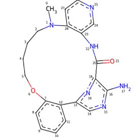 CN1CCCCOc2ccccc2-c2cnc(N)c(n2)C(=O)Nc2cnccc21